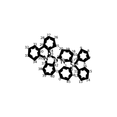 c1ccc([Si](c2ccccc2)(c2ccccc2)c2cccc(N3B4c5ccccc5-c5ccccc5N4c4ccccc43)n2)cc1